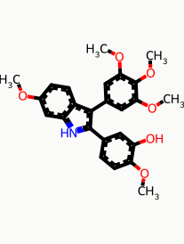 COc1ccc2c(-c3cc(OC)c(OC)c(OC)c3)c(-c3ccc(OC)c(O)c3)[nH]c2c1